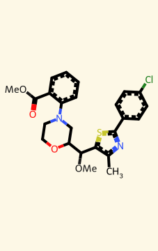 COC(=O)c1ccccc1N1CCOC(C(OC)c2sc(-c3ccc(Cl)cc3)nc2C)C1